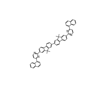 CC1(C)c2cc(-c3ccc4c(c3)C(C)(C)c3cc(-c5nccc(-c6cccc7ccccc67)n5)ccc3-4)ccc2-c2ccc(-c3nccc(-c4cccc5ccccc45)n3)cc21